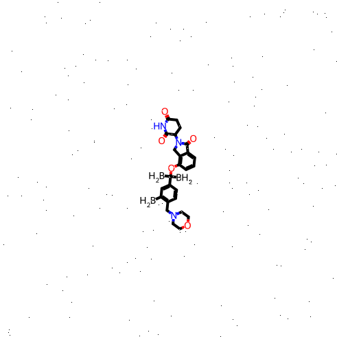 Bc1cc(C(B)(B)Oc2cccc3c2CN(C2CCC(=O)NC2=O)C3=O)ccc1CN1CCOCC1